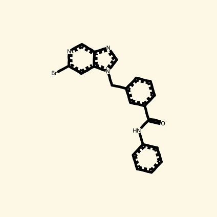 O=C(Nc1ccccc1)c1cccc(Cn2cnc3cnc(Br)cc32)c1